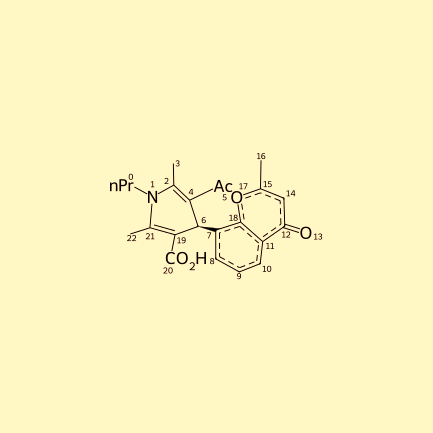 CCCN1C(C)=C(C(C)=O)[C@@H](c2cccc3c(=O)cc(C)oc23)C(C(=O)O)=C1C